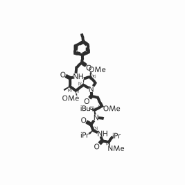 CC[C@H](C)[C@@H]([C@H](CC(=O)N1C[C@H](OC)C[C@H]1[C@H](OC)[C@@H](C)C(=O)NCC(=O)c1ccc(C)cc1)OC)N(C)C(=O)[C@@H](NC(=O)[C@@H](NC)C(C)C)C(C)C